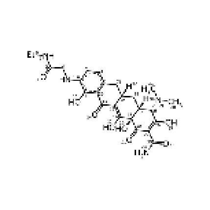 CCNC(=O)CNc1ccc2c(c1O)C(=O)C1=C(O)[C@@]3(O)C(=O)C(C(N)=O)=C(O)[C@@H](N(C)C)[C@H]3C[C@H]1C2